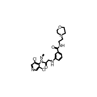 C=NN(C(=O)CNc1cccc(C(=O)NCCN2CCOCC2)c1)c1c(Cl)cncc1Cl